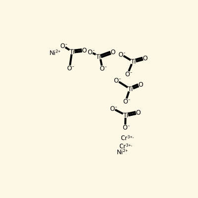 [Cr+3].[Cr+3].[Ni+2].[Ni+2].[O]=[Ti]([O-])[O-].[O]=[Ti]([O-])[O-].[O]=[Ti]([O-])[O-].[O]=[Ti]([O-])[O-].[O]=[Ti]([O-])[O-]